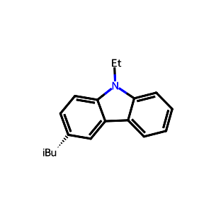 CC[C@@H](C)c1ccc2c(c1)c1ccccc1n2CC